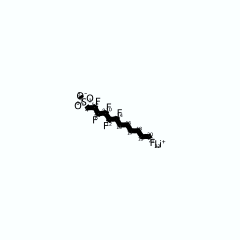 O=S(=O)([O-])CC(F)C(F)C(F)C(F)C(F)CCCCCCF.[Li+]